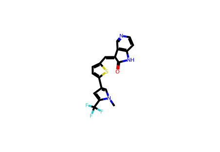 Cn1cc(-c2ccc(C=C3C(=O)Nc4ccncc43)s2)cc1C(F)(F)F